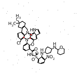 CC1(C)CCC(CN2CCN(c3cccc(C(=O)NS(=O)(=O)c4cccc([N+](=O)[O-])c4N[C@H]4CC[C@H](NC5CCCCO5)CC4)c3Oc3cnc4[nH]ccc4c3)CC2)=C(c2ccc(Cl)cc2)C1